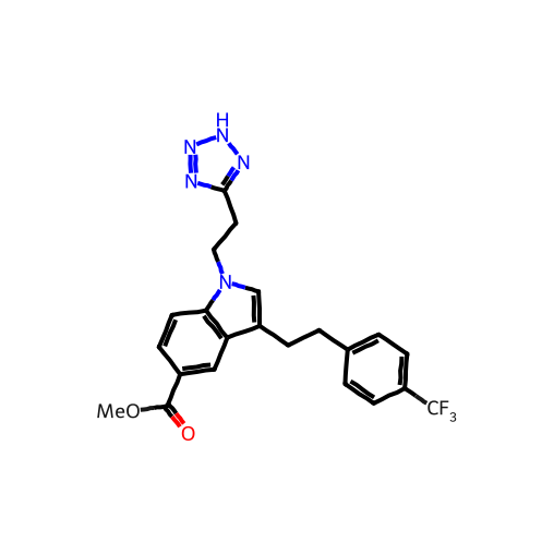 COC(=O)c1ccc2c(c1)c(CCc1ccc(C(F)(F)F)cc1)cn2CCc1nn[nH]n1